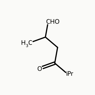 CC(C=O)CC(=O)C(C)C